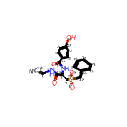 N#CCNC(=O)[C@H](CS(=O)(=O)Cc1ccccc1)NC(=O)c1ccc(O)cc1